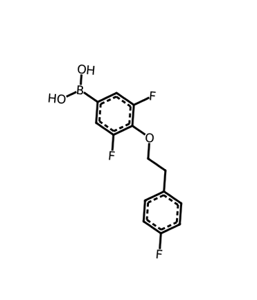 OB(O)c1cc(F)c(OCCc2ccc(F)cc2)c(F)c1